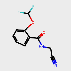 N#CCNC(=O)c1ccccc1OC(F)F